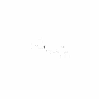 CC(C)(C)BNCCN(I)C(=O)CC(C)(C)C